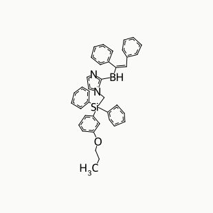 CCCOc1cccc([Si](Cn2ccnc2BC(=Cc2ccccc2)c2ccccc2)(c2ccccc2)c2ccccc2)c1